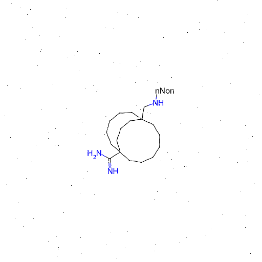 CCCCCCCCCNCC12CCCCCCC(C(=N)N)(CCCCC1)CCC2